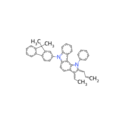 C=C/C=c1\c(=C/C)c2ccc3c(c4ccccc4n3-c3ccc4c(c3)C(C)(C)c3ccccc3-4)c2n1-c1ccccc1